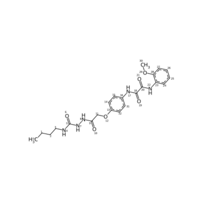 CCCCNC(=O)NNC(=O)COc1ccc(NC(=O)C(=O)Nc2ccccc2OC)cc1